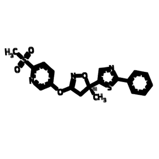 C[C@@]1(c2cnc(-c3ccccc3)s2)CC(Oc2ccc(S(C)(=O)=O)nc2)=NO1